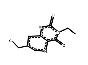 CCn1c(=O)[nH]c2cc(CCl)cnc2c1=O